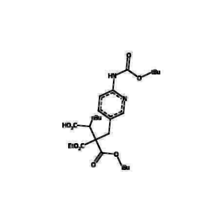 CCCCC(C(=O)O)C(Cc1ccc(NC(=O)OC(C)(C)C)nc1)(C(=O)OCC)C(=O)OC(C)CC